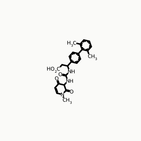 Cc1cccc(C)c1-c1ccc(C(CC(=O)O)NC(=O)NC2C(=O)C=CN(C)C2=O)cc1